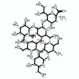 C[C@@H]1C(CO)O[C@@H](O[C@@H]2C(CO)O[C@H](O[C@H]3C(C(O)CO)O[C@@](C)(C(=O)O)C[C@H]3O)C(O[C@H]3OC(CO)[C@@H](O)[C@H](O)C3O)[C@H]2O)C(O[C@H]2OC(CO)[C@@H](O)[C@H](O)C2N)[C@H]1O[C@H]1OC(CO)[C@@H](O)[C@H](O)C1O